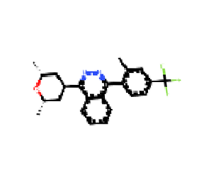 Cc1cc(C(F)(F)F)ccc1-c1nnc(C2C[C@@H](C)O[C@@H](C)C2)c2ccccc12